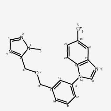 Cn1ncnc1COCc1cccc(-n2cnc3cc(C(F)(F)F)ccc32)c1